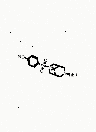 CCCCN1CC2CN(S(=O)(=O)c3ccc(C#N)cc3)CC(C1)C2(C)C